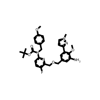 COc1ccc(CN(C(=O)OC(C)(C)C)c2ccc(F)c(COCc3cc(N)c(OC)c(-c4ccn(C)n4)c3)n2)cc1